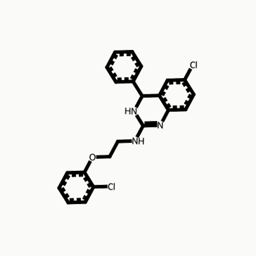 Clc1ccc2c(c1)C(c1ccccc1)NC(NCCOc1ccccc1Cl)=N2